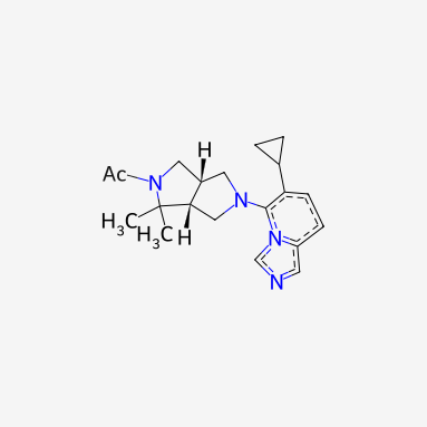 CC(=O)N1C[C@@H]2CN(c3c(C4CC4)ccc4cncn34)C[C@@H]2C1(C)C